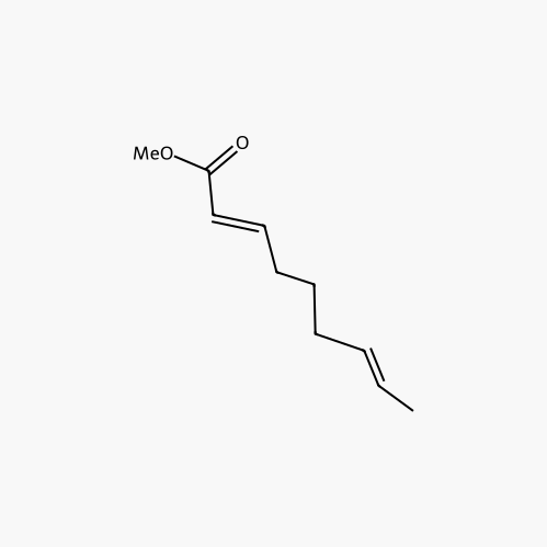 C/C=C/CCC/C=C/C(=O)OC